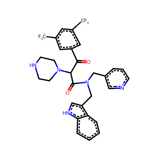 O=C(c1cc(C(F)(F)F)cc(C(F)(F)F)c1)C(C(=O)N(Cc1cccnc1)Cc1c[nH]c2ccccc12)N1CCNCC1